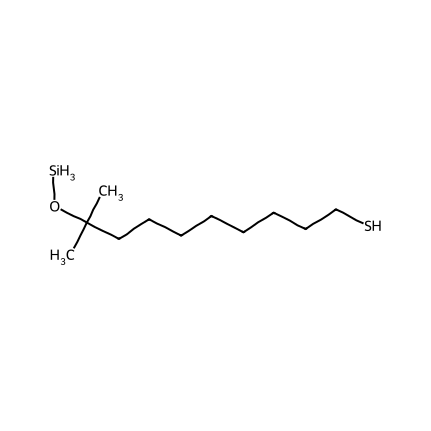 CC(C)(CCCCCCCCS)O[SiH3]